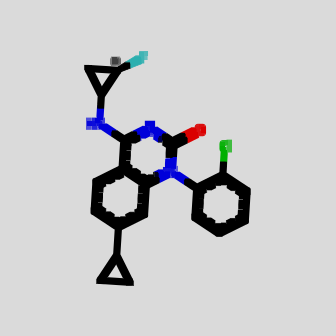 O=c1nc(NC2C[C@H]2F)c2ccc(C3CC3)cc2n1-c1ccccc1Cl